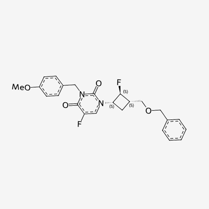 COc1ccc(Cn2c(=O)c(F)cn([C@H]3C[C@@H](COCc4ccccc4)[C@@H]3F)c2=O)cc1